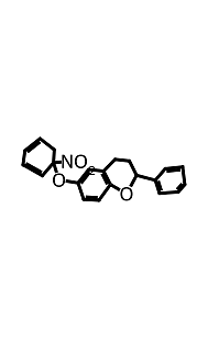 O=[N+]([O-])C1(Oc2ccc3c(c2)CCC(c2ccccc2)O3)C=CC=CC1